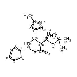 Cn1cc([C@H]2N[C@@H](c3ccccc3)CC(=O)[C@@H]2C(=O)OC(C)(C)C)nn1